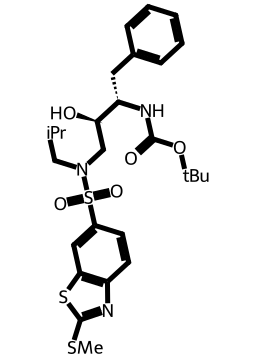 CSc1nc2ccc(S(=O)(=O)N(CC(C)C)C[C@@H](O)[C@H](Cc3ccccc3)NC(=O)OC(C)(C)C)cc2s1